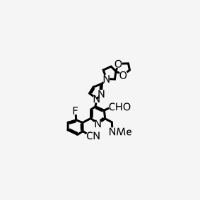 CNCc1nc(-c2c(F)cccc2C#N)cc(-n2ccc(N3CCC4(C3)OCCO4)n2)c1C=O